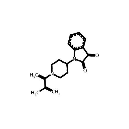 C=C(C)C(=C)N1CCC(N2C(=O)C(=O)c3ccccc32)CC1